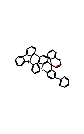 c1ccc(-c2ccc3c(c2)C2(c4ccccc4Sc4ccccc42)c2ccc(-c4cccc5c6ccccc6n(-c6ccccc6)c45)cc2S3)cc1